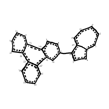 c1ccc2ccc(-c3ccc4c5ccccc5c5ccccc5c4c3)c-2cc1